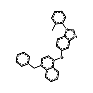 Cc1ccccc1-n1cnc2cc(Nc3ccc(Cc4ccccc4)c4ccccc34)ccc21